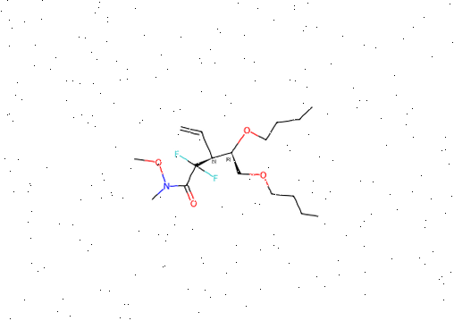 C=C[C@@H]([C@H](COCCCC)OCCCC)C(F)(F)C(=O)N(C)OC